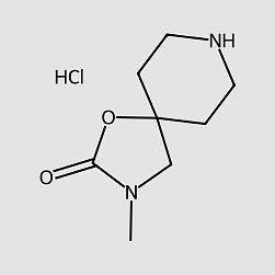 CN1CC2(CCNCC2)OC1=O.Cl